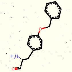 N[C@@H](C=O)Cc1ccc(OCc2ccccc2)cc1